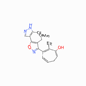 CCC1=C(c2noc(-c3cn[nH]c3C(F)(F)F)c2COC)C=CCC=C1O